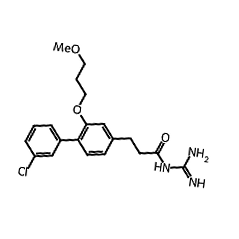 COCCCOc1cc(CCC(=O)NC(=N)N)ccc1-c1cccc(Cl)c1